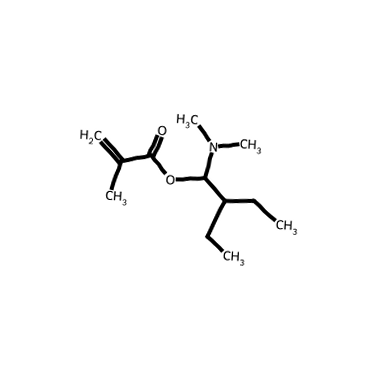 C=C(C)C(=O)OC([C](CC)CC)N(C)C